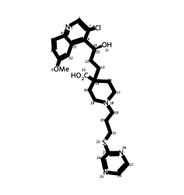 COc1ccc2ncc(Cl)c([C@@H](O)CCC3(C(=O)O)CCN(CCCSc4cnccn4)CC3)c2c1